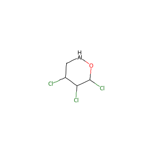 ClC1[CH2][AlH][O]C(Cl)C1Cl